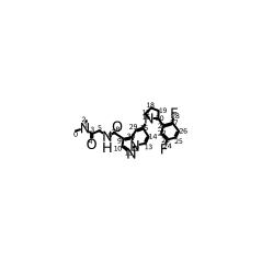 CN(C)C(=O)CNC(=O)c1cnn2ccc(N3CCCC3c3cc(F)ccc3F)cc12